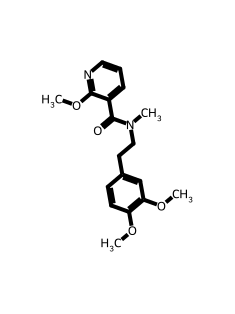 COc1ccc(CCN(C)C(=O)c2cccnc2OC)cc1OC